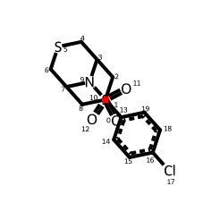 O=C1CC2CSCC(C1)N2S(=O)(=O)c1ccc(Cl)cc1